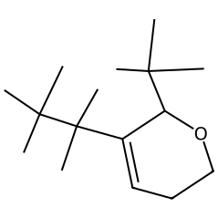 CC(C)(C)C1OCCC=C1C(C)(C)C(C)(C)C